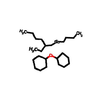 C1CCC(OC2CCCCC2)CC1.CCC[CH2][Sn][CH2]C(CC)CCCC